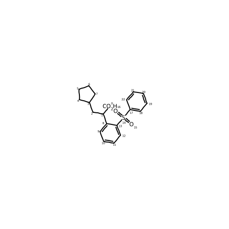 O=C(O)C(CC1CCCC1)c1ccccc1S(=O)(=O)c1ccccc1